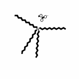 CCCCCCCCCCCC[N+](CCCCCCCCCCCC)(CCCCCCCCCCCC)CCCCCCCCCCCC.COC(=O)[O-]